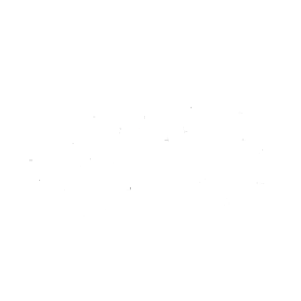 C=Cc1ccc(C(=O)OC2Cc3cccc4cccc2c34)c2ccccc12